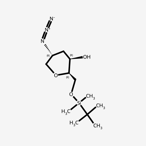 CC(C)(C)[Si](C)(C)OC[C@H]1OC[C@H](N=[N+]=[N-])C[C@H]1O